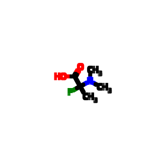 CN(C)C(C)(F)C(=O)O